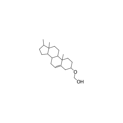 CC1CCC2C3CC=C4CC(OCO)CCC4(C)C3CCC12C